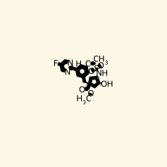 COC(=O)[C@@]1(Cc2cccc(-c3ncc(F)cn3)c2)C[C@@H](O)[C@H](NS(=O)(=O)C(C)C)C1